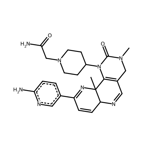 CN1CC2=C(N(C3CCN(CC(N)=O)CC3)C1=O)C1(C)N=C(c3ccc(N)nc3)C=CC1N=C2